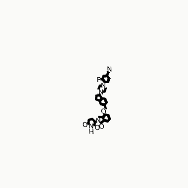 N#Cc1ccc(N2CCN([C@H]3CCc4cc(COc5cccc6c5CN([C@H]5CCC(=O)NC5=O)C6=O)ccc43)CC2)c(F)c1